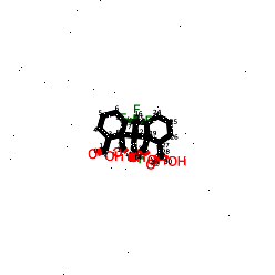 O=C(O)C1CCCCC1(C(=O)O)C(CF)(C(F)(F)F)C1(C(=O)O)CCCCC1C(=O)O